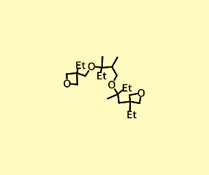 CCC1(COC(C)(CC)C(C)COC(C)(CC)CC2(CC)COC2)COC1